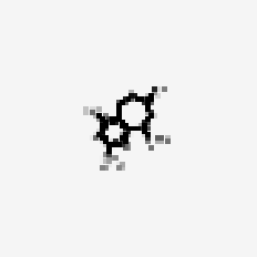 COC1CC(=O)CCc2c(Br)cc([N+](=O)[O-])cc21